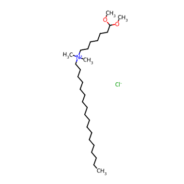 CCCCCCCCCCCCCCCCCC[N+](C)(C)CCCCCCC(OC)OC.[Cl-]